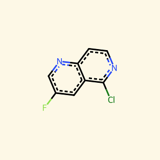 Fc1cnc2ccnc(Cl)c2c1